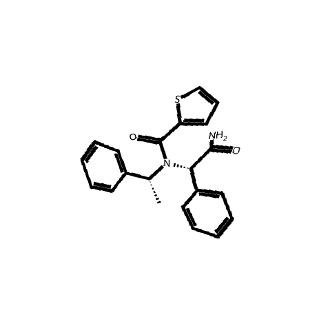 C[C@H](c1ccccc1)N(C(=O)c1cccs1)[C@H](C(N)=O)c1ccccc1